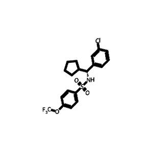 O=S(=O)(N[C@@H](c1cccc(Cl)c1)C1CCCC1)c1ccc(OC(F)(F)F)cc1